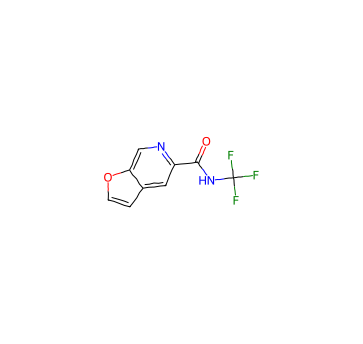 O=C(NC(F)(F)F)c1cc2ccoc2cn1